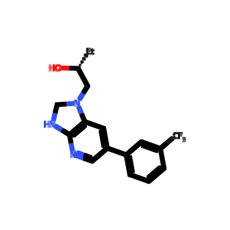 CC[C@@H](O)CN1CNc2ncc(-c3cccc(C(F)(F)F)c3)cc21